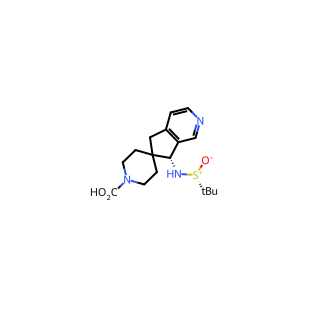 CC(C)(C)[S@@+]([O-])N[C@H]1c2cnccc2CC12CCN(C(=O)O)CC2